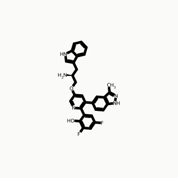 Cc1n[nH]c2ccc(-c3cc(OC[C@@H](N)Cc4c[nH]c5ccccc45)cnc3-c3cc(F)cc(F)c3O)cc12